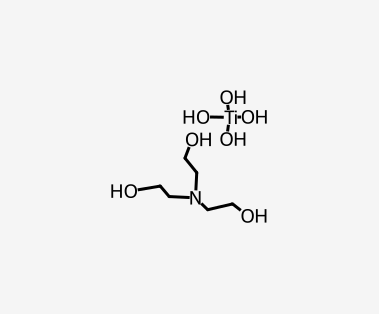 OCCN(CCO)CCO.[OH][Ti]([OH])([OH])[OH]